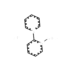 CCCCCCC[n+]1ccccc1-[n+]1ccccc1.[Br-].[Br-]